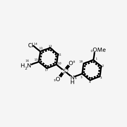 COc1cccc(NS(=O)(=O)c2ccc(Cl)c(N)c2)c1